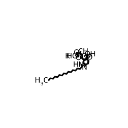 CCCCCCCCCCCCCCCCc1nc2ccc(S(=O)(=O)O)c(CCC(C)S(=O)(=O)O)c2[nH]1.[K]